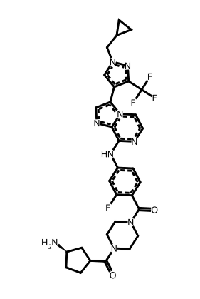 N[C@@H]1CCC(C(=O)N2CCN(C(=O)c3ccc(Nc4nccn5c(-c6cn(CC7CC7)nc6C(F)(F)F)cnc45)cc3F)CC2)C1